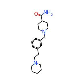 NC(=O)C1CCN(Cc2cccc(CCN3CCCCC3)c2)CC1